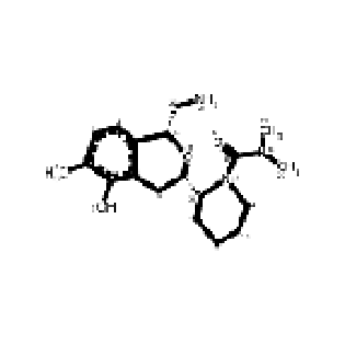 Cc1ccc2c(c1O)C[C@@H](C1CCCCN1C(=O)N(C)C)O[C@H]2CN